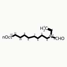 C=CN(C=O)CCCCCCCCCCCCCCCC